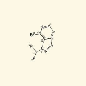 FC(F)n1ncc2cccc(Br)c21